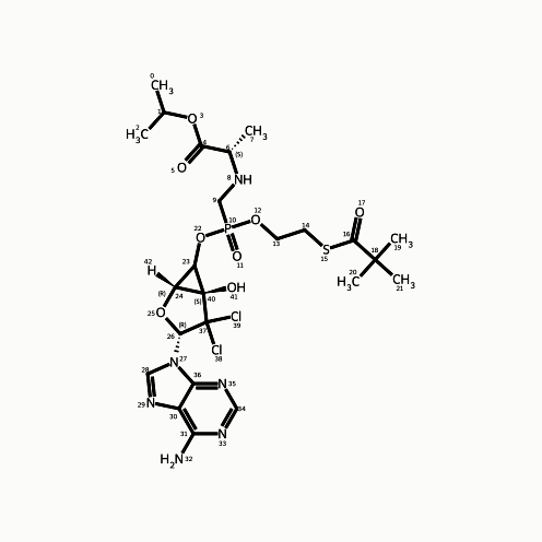 CC(C)OC(=O)[C@H](C)NCP(=O)(OCCSC(=O)C(C)(C)C)OC1[C@H]2O[C@@H](n3cnc4c(N)ncnc43)C(Cl)(Cl)[C@@]12O